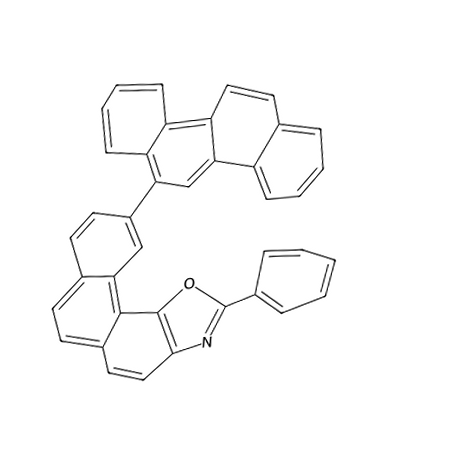 c1ccc(-c2nc3ccc4ccc5ccc(-c6cc7c8ccccc8ccc7c7ccccc67)cc5c4c3o2)cc1